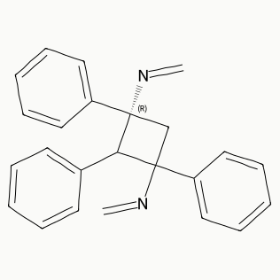 C=NC1(c2ccccc2)C[C@](N=C)(c2ccccc2)C1c1ccccc1